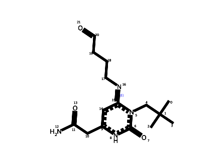 CC(C)(C)Cn1c(=O)[nH]c(CC(N)=O)c/c1=N\CCCC=O